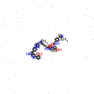 Cc1ncsc1-c1ccc(CNC(=O)[C@@H]2C[C@@H](O)CN2C(=O)[C@@H](NC(=O)CCCCCN(C)Cc2cnc(N3CCC(c4c[nH]c5nnc(-c6ccccc6O)cc45)CC3)nc2)C(C)(C)C)cc1